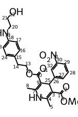 COC(=O)C1=C(C)NC(C)=C(C(=O)OCCc2ccc(NCCO)cc2)C1c1cccc([N+](=O)[O-])c1